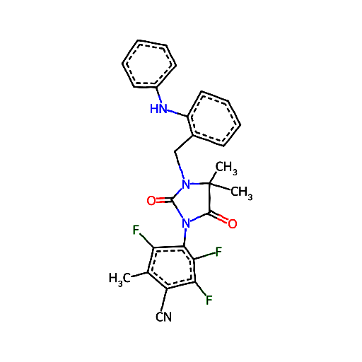 Cc1c(F)c(N2C(=O)N(Cc3ccccc3Nc3ccccc3)C(C)(C)C2=O)c(F)c(F)c1C#N